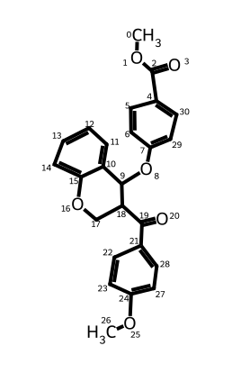 COC(=O)c1ccc(OC2c3ccccc3OCC2C(=O)c2ccc(OC)cc2)cc1